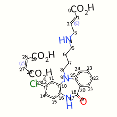 O=C(O)/C=C/CNCCCCN1c2cc(Cl)ccc2NC(=O)c2ccccc21.O=C(O)/C=C\C(=O)O